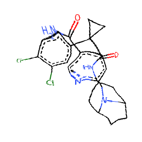 NC(=O)c1ccc(N2C3CCC2CC(NC(=O)C2(c4ccc(Cl)c(Cl)c4)CC2)C3)nc1